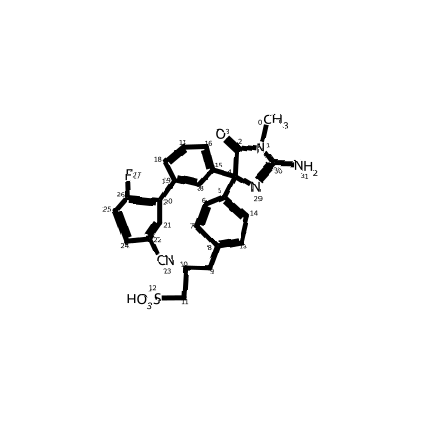 CN1C(=O)C(c2ccc(CCCS(=O)(=O)O)cc2)(c2cccc(-c3cc(C#N)ccc3F)c2)N=C1N